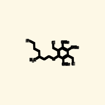 COc1c(CCl)c(OC)c(OCCC(C)CCCC(C)C)c(CCl)c1OC